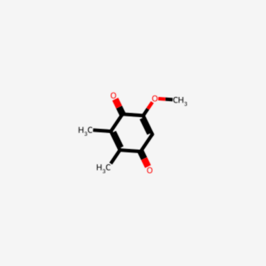 COC1=CC(=O)C(C)=C(C)C1=O